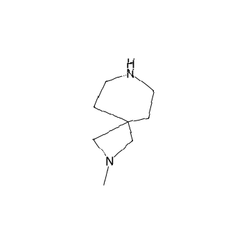 CN1CC2(CCNCC2)C1